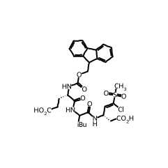 CCC(C)C(NC(=O)[C@H](CCC(=O)O)NC(=O)OCC1c2ccccc2-c2ccccc21)C(=O)N[C@H](/C=C(\Cl)S(C)(=O)=O)CC(=O)O